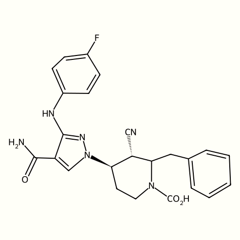 N#C[C@@H]1C(Cc2ccccc2)N(C(=O)O)CC[C@H]1n1cc(C(N)=O)c(Nc2ccc(F)cc2)n1